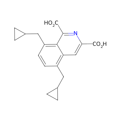 O=C(O)c1cc2c(CC3CC3)ccc(CC3CC3)c2c(C(=O)O)n1